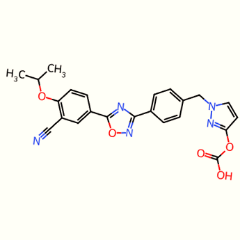 CC(C)Oc1ccc(-c2nc(-c3ccc(Cn4ccc(OC(=O)O)n4)cc3)no2)cc1C#N